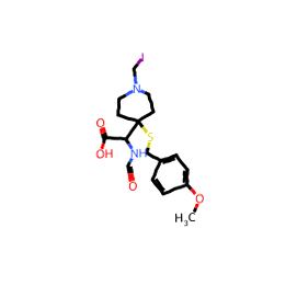 COc1ccc(CSC2(C(NC=O)C(=O)O)CCN(CI)CC2)cc1